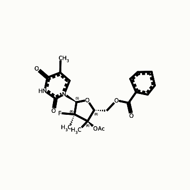 CC(=O)O[C@]1(C)[C@@H](COC(=O)c2ccccc2)O[C@H](n2cc(C)c(=O)[nH]c2=O)[C@]1(C)F